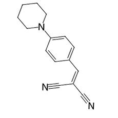 N#CC(C#N)=Cc1ccc(N2CCCCC2)cc1